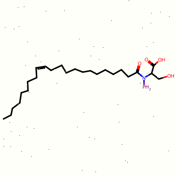 CCCCCCCC/C=C\CCCCCCCCCCCC(=O)N(P)C(CO)C(=O)O